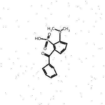 CN(C)c1cccc(C(=O)c2ccccc2)c1S(=O)(=O)O